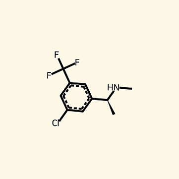 CN[C@@H](C)c1cc(Cl)cc(C(F)(F)F)c1